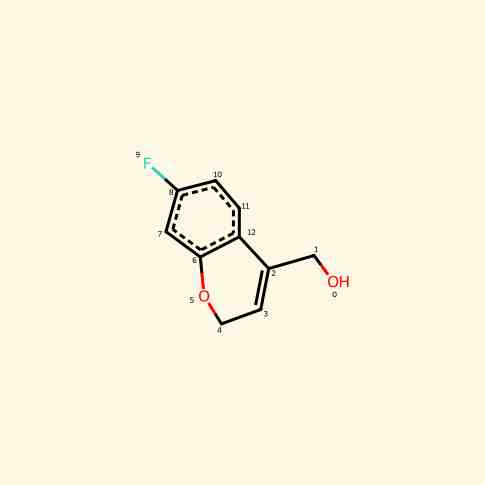 OCC1=CCOc2cc(F)ccc21